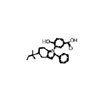 CCC(C)(C)C1CCc2c(cc(-c3ccccc3)n2-c2cc(C(=O)O)ccc2O)C1